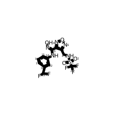 O=S(=O)(NCc1nonc1/C(=N\O)Nc1cccc(C(F)F)c1)C(F)(F)F